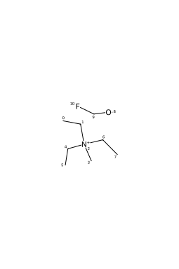 CC[N+](C)(CC)CC.[O]CF